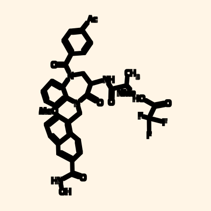 CNC(C)C(=O)NC1CN(C(=O)c2ccc(C(C)=O)cc2)c2ccccc2N(Cc2c(OC)ccc3cc(C(=O)NO)ccc23)C1=O.O=C(O)C(F)(F)F